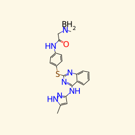 BN(C)CC(=O)Nc1ccc(Sc2nc(Nc3cc(C)[nH]n3)c3ccccc3n2)cc1